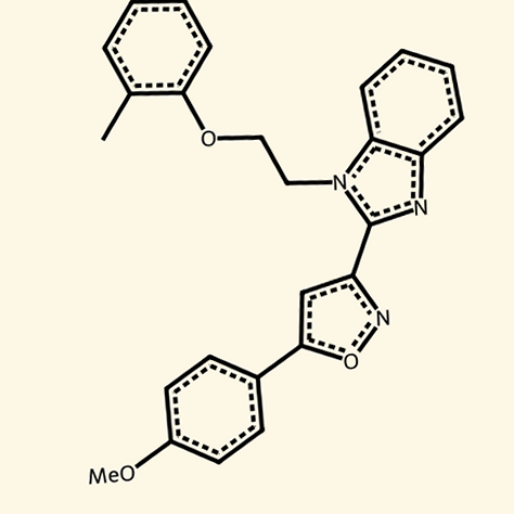 COc1ccc(-c2cc(-c3nc4ccccc4n3CCOc3ccccc3C)no2)cc1